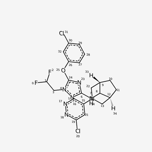 FC(F)Cn1nc(NC2[C@H]3CC[C@H]2CN(c2cnnc(Cl)c2)C3)nc1Oc1cccc(Cl)c1